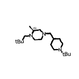 C[C@H]1CN(CC2CCN(C(C)(C)C)CC2)CCN1CC(C)(C)C